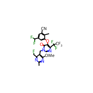 COc1nc(C)nc(CF)c1Cn1cnc(C(F)(F)C(F)(F)F)c(Oc2cc(C(F)F)cc(C#N)c2C)c1=O